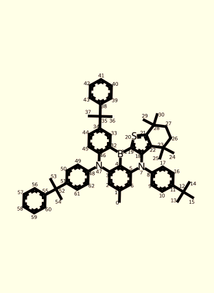 Cc1cc2c3c(c1)N(c1ccc(C(C)(C)C)cc1)c1c(sc4c1C(C)(C)CCC4(C)C)B3c1cc(C(C)(C)c3ccccc3)ccc1N2c1ccc(C(C)(C)c2ccccc2)cc1